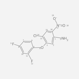 Nc1cc(Oc2ccc(F)cc2F)c(Cl)cc1[N+](=O)[O-]